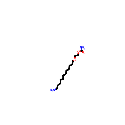 NCCCCCCCCCCCCOCCOC(N)=O